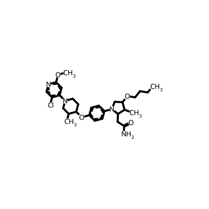 CCCCOC1CN(c2ccc(OC3CCN(c4cc(OC)ncc4Cl)CC3C)cc2)C(CC(N)=O)C1C